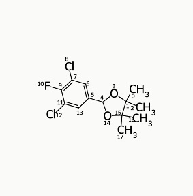 CC1(C)OC(c2cc(Cl)c(F)c(Cl)c2)OC1(C)C